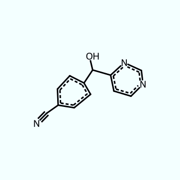 N#Cc1ccc(C(O)c2ccncn2)cc1